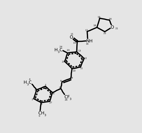 Cc1cc(C)cc(C(/C=C/c2ccc(C(=O)NCC3CCOC3)c(C)c2)C(F)(F)F)c1